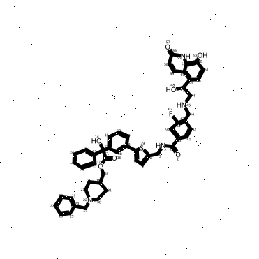 O=C(NCc1ccc(-c2cccc(C(O)(C(=O)OCC3CCN(Cc4ccccc4)CC3)c3ccccc3)c2)s1)c1ccc(CNCC(O)c2ccc(O)c3[nH]c(=O)ccc23)c(F)c1